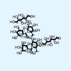 O=C[C@H](O)[C@@H](O)[C@H](O)[C@H](O)CO.OC[C@@H](O)[C@@H](O)[C@H](O)[C@H](O)CO.OC[C@H]1O[C@@H](O[C@H]2[C@H](O)[C@@H](O)[C@H](O)O[C@@H]2CO)[C@H](O)[C@@H](O)[C@H]1O.OC[C@H]1O[C@H](O[C@H]2[C@H](O)[C@@H](O)[C@H](O)O[C@@H]2CO)[C@H](O)[C@@H](O)[C@@H]1O